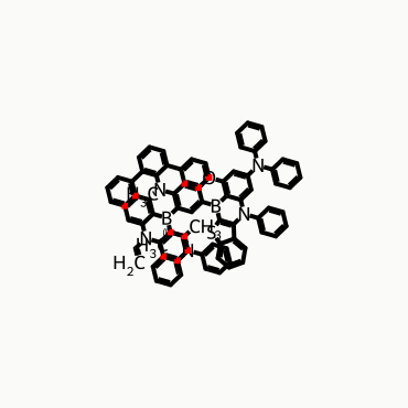 C=CN(c1ccccc1)c1ccccc1B(c1cc2c(cc1N(C)c1c(-c3ccccc3)cccc1-c1ccccc1)Oc1cc(N(c3ccccc3)c3ccccc3)cc3c1B2c1sc2ccccc2c1N3c1ccccc1)[C@H](C)C(C)N(c1ccccc1)c1ccccc1